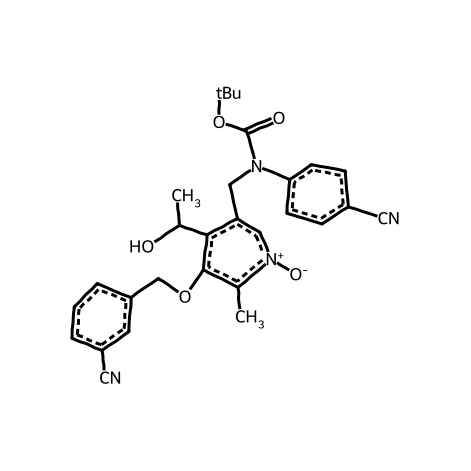 Cc1c(OCc2cccc(C#N)c2)c(C(C)O)c(CN(C(=O)OC(C)(C)C)c2ccc(C#N)cc2)c[n+]1[O-]